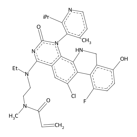 C=CC(=O)N(C)CCN(CC)c1nc(=O)n(-c2c(C)ccnc2C(C)C)c2c3c(c(Cl)cc12)-c1c(F)ccc(O)c1CN3